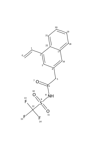 C=Cc1cc(CC(=O)NS(=O)(=O)C(F)(F)F)cc2ccccc12